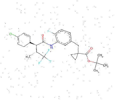 C[C@H]([C@H](C(=O)Nc1cc(CC2(C(=O)OC(C)(C)C)CC2)ccc1F)C1C=CC(Cl)=CC1)C(F)(F)F